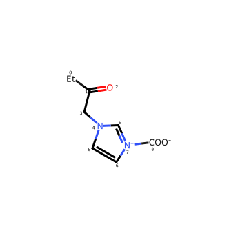 CCC(=O)Cn1cc[n+](C(=O)[O-])c1